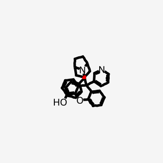 Oc1cccc2c1Oc1ccccc1C2(c1cccnc1)C1CC2CCC(C1)N2Cc1ccccc1